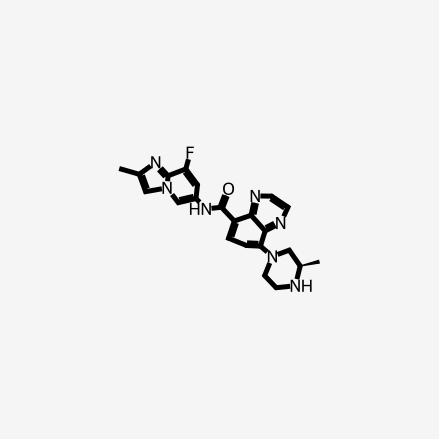 Cc1cn2cc(NC(=O)c3ccc(N4CCN[C@H](C)C4)c4nccnc34)cc(F)c2n1